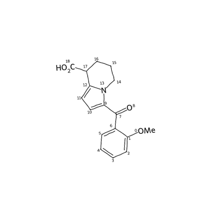 COc1ccccc1C(=O)c1ccc2n1CCCC2C(=O)O